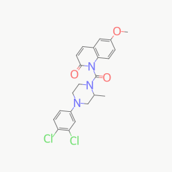 COc1ccc2c(ccc(=O)n2C(=O)N2CCN(c3ccc(Cl)c(Cl)c3)CC2C)c1